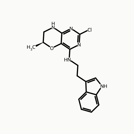 C[C@H]1CNc2nc(Cl)nc(NCCc3c[nH]c4ccccc34)c2O1